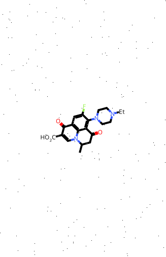 CCN1CCN(c2c(F)cc3c(=O)c(C(=O)O)cn4c3c2C(=O)CC4C)CC1